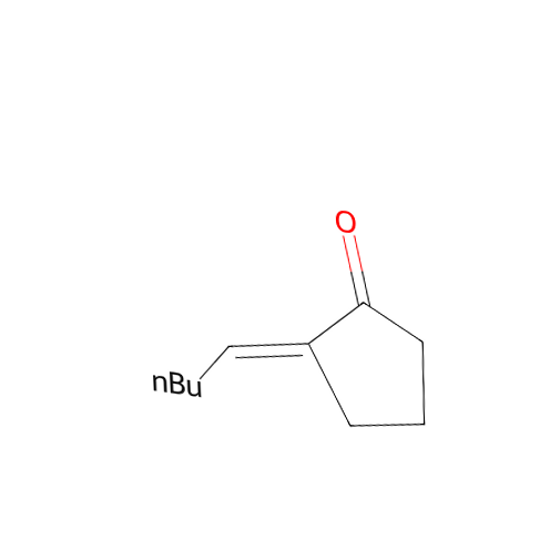 CCCC/C=C1\CCCC1=O